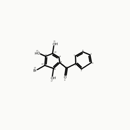 O=C(c1ccccc1)c1cc(O)c(O)c(Br)c1O